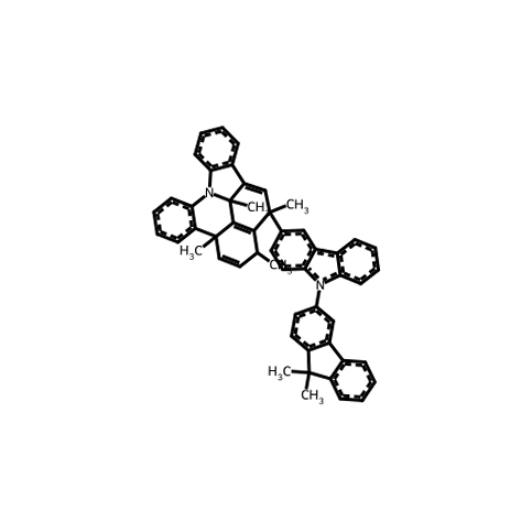 CC1C=CC2(C)C3=C1C(C)(c1ccc4c(c1)c1ccccc1n4-c1ccc4c(c1)-c1ccccc1C4(C)C)C=C1c4ccccc4N(c4ccccc42)C13C